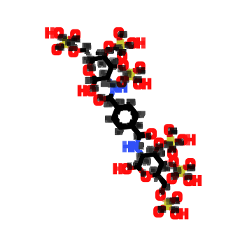 O=C(N[C@@H]1C(O)O[C@H](COS(=O)(=O)O)[C@@H](OS(=O)(=O)O)[C@@H]1OS(=O)(=O)O)c1ccc(C(=O)N[C@@H]2C(O)O[C@H](COS(=O)(=O)O)[C@@H](OS(=O)(=O)O)[C@@H]2OS(=O)(=O)O)cc1